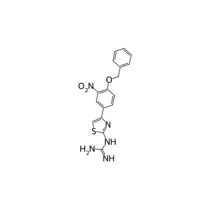 N=C(N)Nc1nc(-c2ccc(OCc3ccccc3)c([N+](=O)[O-])c2)cs1